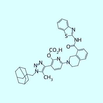 Cc1c(-c2ccc(N3CCc4cccc(C(=O)Nc5nc6ccccc6s5)c4C3)nc2OC(=O)O)nnn1CC12CC3CC(CC(C3)C1)C2